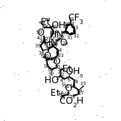 CCC(C(O)[C@@H](C)[C@@H](O)[C@H](C)[C@@H]1O[C@@H]([C@@H](CC)C(=O)O)CC[C@@H]1C)[C@H]1O[C@]2(C=C[C@@H](NC(=O)Nc3cccc(C(F)(F)F)c3)[C@]3(CC[C@@](C)([C@H]4CC[C@](O)(CC)[C@H](C)O4)O3)O2)[C@H](C)C[C@@H]1C